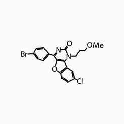 COCCCn1c(=O)nc(-c2ccc(Br)cc2)c2oc3ccc(Cl)cc3c21